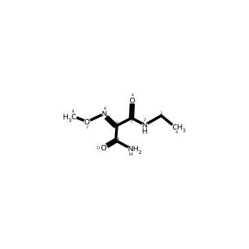 CCNC(=O)/C(=N/OC)C(N)=O